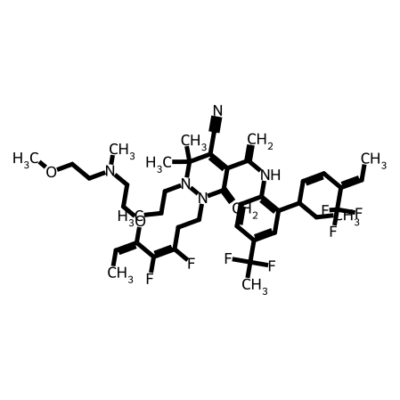 C=C(Nc1ccc(C(C)(F)F)cc1C(/C=C\C(=C/C)C(F)(F)F)CC)C1=C(C#N)C(C)(C)N(CCC)N(CC/C(F)=C(F)\C(=C/C)OCCN(C)CCOC)C1=C